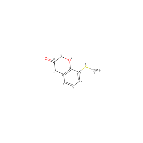 COSc1cccc2c1OCC(=O)C2